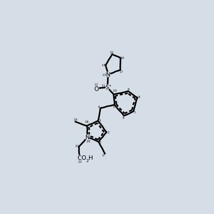 Cc1cc(Cc2ccccc2[S+]([O-])N2CCCC2)c(C)n1CC(=O)O